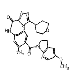 COc1cnc2c(c1)CCN2C(=O)c1cc2c(cc1C)[nH]c(=O)c1nnc(C3CCOCC3)n12